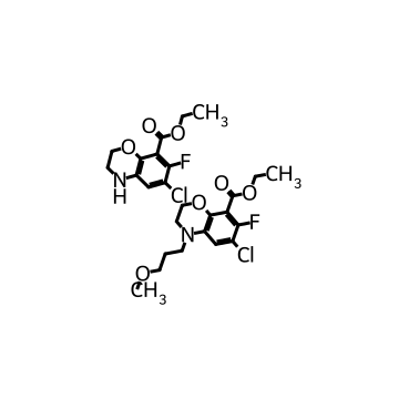 CCOC(=O)c1c(F)c(Cl)cc2c1OCCN2.CCOC(=O)c1c(F)c(Cl)cc2c1OCCN2CCCOC